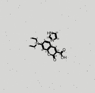 CCN(CC)c1ccc2cc(C(=O)O)c(=O)oc2c1.c1c[nH]cn1